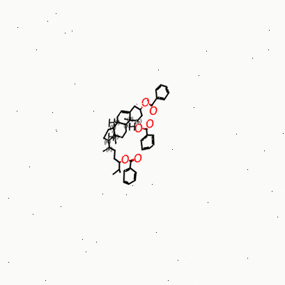 CC(C)C(CC[C@@H](C)[C@H]1CC[C@H]2[C@@H]3CC=C4CC(OC(=O)c5ccccc5)C[C@H](OC(=O)c5ccccc5)[C@]4(C)[C@H]3CC[C@]12C)OC(=O)c1ccccc1